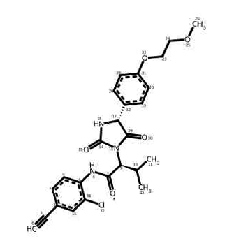 C#Cc1ccc(NC(=O)[C@H](C(C)C)N2C(=O)N[C@H](c3ccc(OCCOC)cc3)C2=O)c(Cl)c1